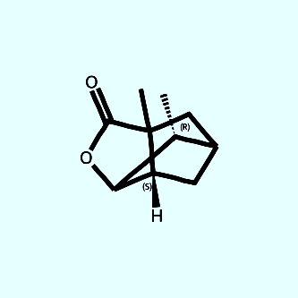 C[C@@H]1C2C[C@@H]3C1OC(=O)C3(C)C2